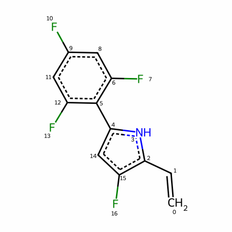 C=Cc1[nH]c(-c2c(F)cc(F)cc2F)cc1F